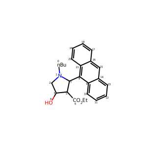 CCCCN1CC(O)C(C(=O)OCC)C1c1c2ccccc2cc2ccccc12